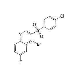 O=S(=O)(c1ccc(Cl)cc1)c1cnc2ccc(F)cc2c1Br